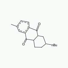 CCCCC1CCC2C(=O)c3cc(C)ccc3C(=O)C2C1